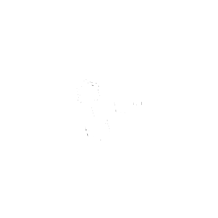 O=C(O)c1cccc(-c2cnccn2)c1C1CCNC1